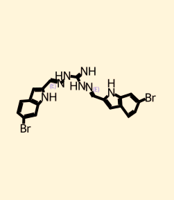 N=C(N/N=C/c1cc2ccc(Br)cc2[nH]1)N/N=C/c1cc2ccc(Br)cc2[nH]1